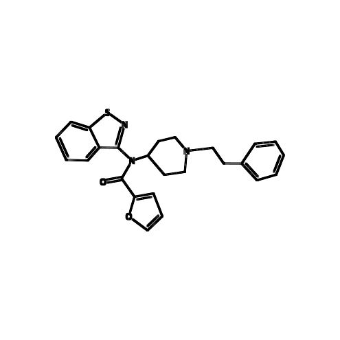 O=C(c1ccco1)N(c1nsc2ccccc12)C1CCN(CCc2ccccc2)CC1